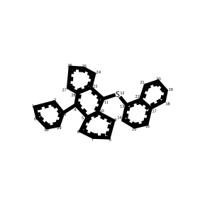 c1ccc(-c2c3ccccc3c(Sc3cccc4ccccc34)c3ccccc23)cc1